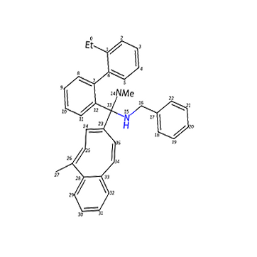 CCc1ccccc1-c1ccccc1C(NC)(NCc1ccccc1)C1=C/C=C(\C)c2ccccc2/C=C\1